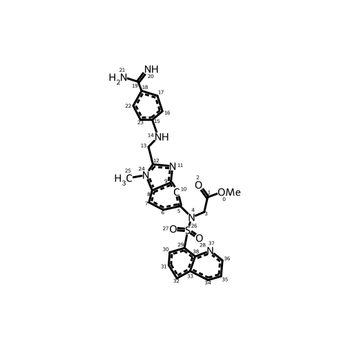 COC(=O)CN(c1ccc2c(c1)nc(CNc1ccc(C(=N)N)cc1)n2C)S(=O)(=O)c1cccc2cccnc12